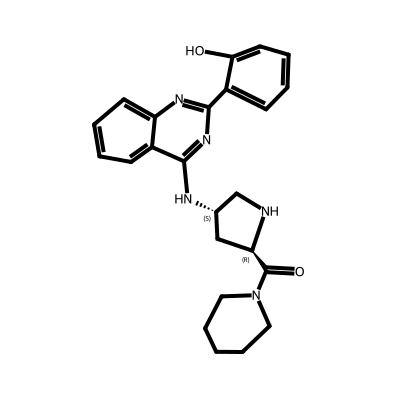 O=C([C@H]1C[C@H](Nc2nc(-c3ccccc3O)nc3ccccc23)CN1)N1CCCCC1